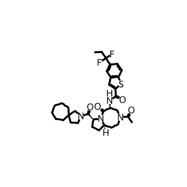 CCC(F)(F)c1ccc2sc(C(=O)N[C@H]3CN(C(C)=O)CC[C@H]4CC[C@@H](C(=O)N5CCC6(CCCCCC6)C5)N4C3=O)cc2c1